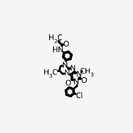 C=CC(=O)Nc1cccc(N2CC(C)Cn3c2nc2c3c(=O)n(Cc3ccccc3Cl)c(=O)n2C)c1